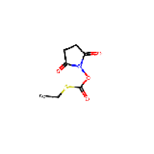 CC(=O)CSC(=O)ON1C(=O)CCC1=O